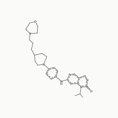 CC(C)n1c(=O)ncc2cnc(Nc3ccc(N4CCC(CCCN5CCOCC5)CC4)cc3)cc21